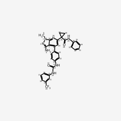 Cn1nc(N)c2c(-c3ccc(NC(=O)Nc4cccc(C(F)(F)F)c4)cc3)cc(C3(C(=O)Nc4ccccc4)CC3)nc21